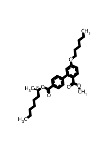 CCCCCCOc1ccc(C(=O)OC)c(-c2ccc(C(=O)O[C@H](C)CCCCCC)cc2)c1